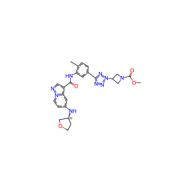 COC(=O)N1CC(n2nnc(-c3ccc(C)c(NC(=O)c4cnn5ccc(N[C@H]6CCOC6)cc45)c3)n2)C1